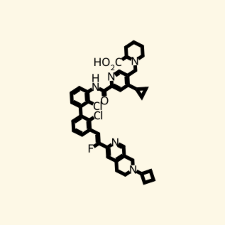 O=C(Nc1cccc(-c2cccc(C=C(F)c3cc4c(cn3)CN(C3CCC3)CC4)c2Cl)c1Cl)c1cc(C2CC2)c(CN2CCCCC2C(=O)O)cn1